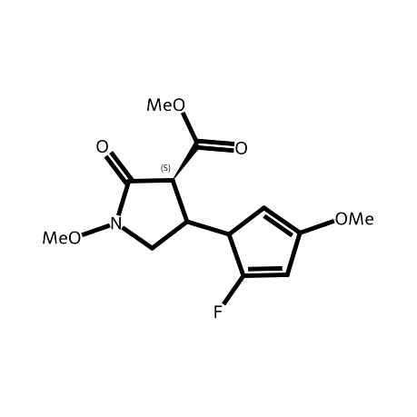 COC(=O)[C@@H]1C(=O)N(OC)CC1C1C=C(OC)C=C1F